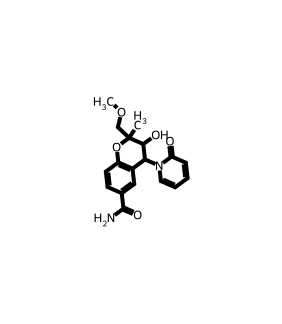 COCC1(C)Oc2ccc(C(N)=O)cc2C(n2ccccc2=O)C1O